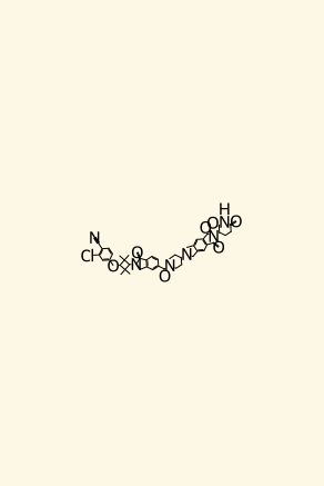 CC1(C)[C@H](Oc2ccc(C#N)c(Cl)c2)C(C)(C)[C@H]1N1Cc2cc(C(=O)N3CCC(N4Cc5cc6c(cc5C4)C(=O)N(C4CCC(=O)NC4=O)C6=O)CC3)ccc2C1=O